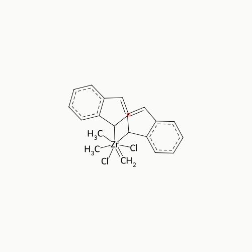 [CH2]=[Zr]([CH3])([CH3])([Cl])([Cl])([CH]1C=Cc2ccccc21)[CH]1C=Cc2ccccc21